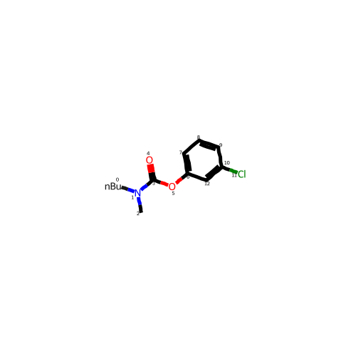 CCCCN(C)C(=O)Oc1cccc(Cl)c1